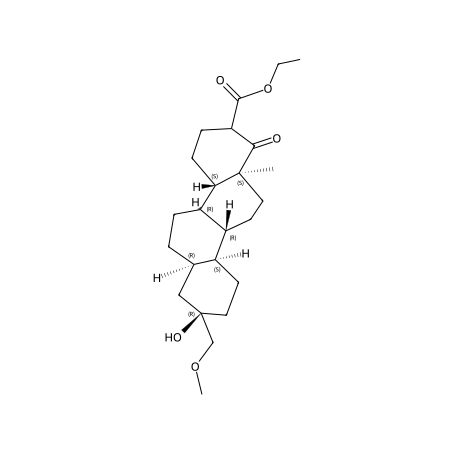 CCOC(=O)C1CC[C@H]2[C@@H]3CC[C@@H]4C[C@@](O)(COC)CC[C@@H]4[C@H]3CC[C@]2(C)C1=O